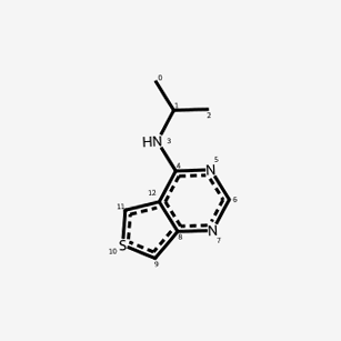 CC(C)Nc1ncnc2cscc12